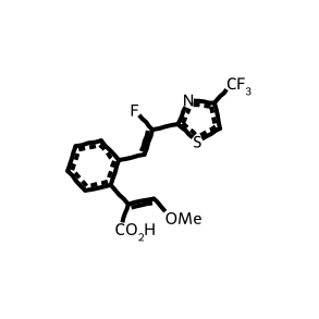 COC=C(C(=O)O)c1ccccc1C=C(F)c1nc(C(F)(F)F)cs1